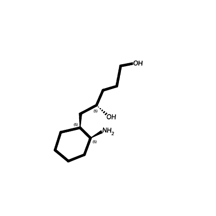 N[C@H]1CCCC[C@H]1C[C@@H](O)CCCO